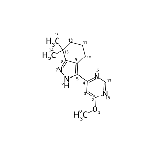 COc1cc(-c2[nH]nc3c2CCCC3(C)C)ncn1